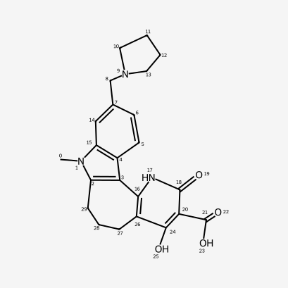 Cn1c2c(c3ccc(CN4CCCC4)cc31)-c1[nH]c(=O)c(C(=O)O)c(O)c1CCC2